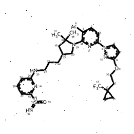 CC(=O)c1ccc(-n2ccc(OCCC3(C(F)(F)F)CC3)n2)nc1N1CC(CCCNc2cccc([SH](=N)=O)n2)CC1(C)C